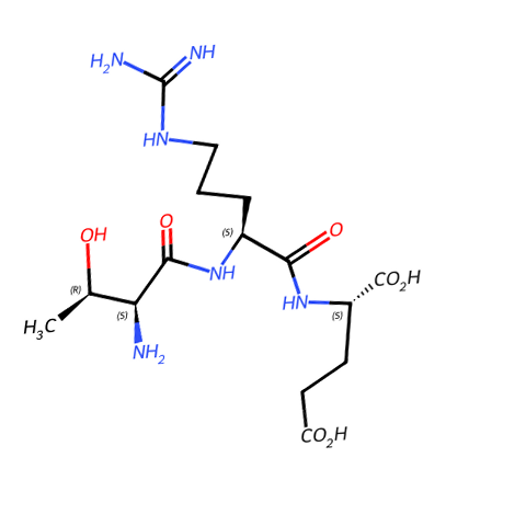 C[C@@H](O)[C@H](N)C(=O)N[C@@H](CCCNC(=N)N)C(=O)N[C@@H](CCC(=O)O)C(=O)O